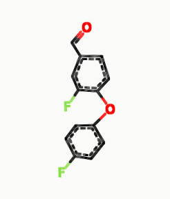 O=Cc1ccc(Oc2ccc(F)cc2)c(F)c1